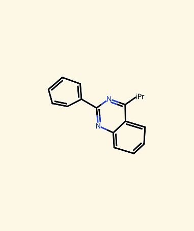 CC(C)c1nc(-c2ccccc2)nc2ccccc12